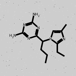 CCCC(c1nc(N)nc(N)n1)n1cc(C)nc1CC